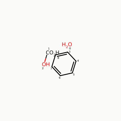 O.O=C(O)O.c1ccccc1